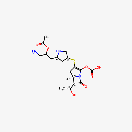 CC(=O)OC(CN)C[C@@H]1C[C@H](SC2=C(OC(=O)O)N3C(=O)[C@H]([C@@H](C)O)[C@H]3C2)CN1